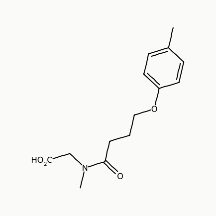 Cc1ccc(OCCCC(=O)N(C)CC(=O)O)cc1